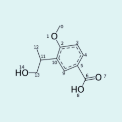 COc1ccc(C(=O)O)cc1C(C)CO